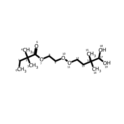 CCC(C)(C)C(=O)OCCOOCCC(C)(C)C(O)O